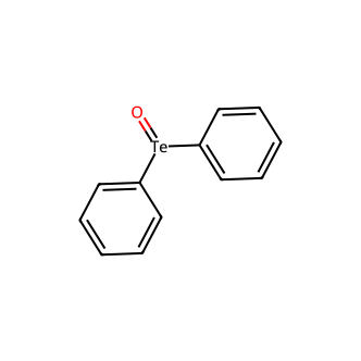 O=[Te](c1ccccc1)c1ccccc1